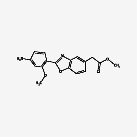 COC(=O)Cc1ccc2oc(-c3ccc(N)cc3OC)nc2c1